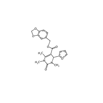 CC1=C(C(=O)OCc2ccc3c(c2)OCO3)C(c2ccco2)N(C)C(=O)N1C